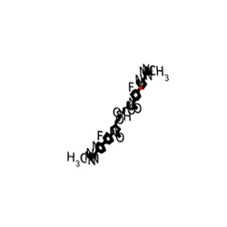 Cn1nnc(-c2ccc(-c3ccc(N4CC(CO[PH](=O)CC[C@H]5CN(c6ccc(-c7ccc(-c8nnn(C)n8)nc7)c(F)c6)C(=O)O5)CC4=O)cc3F)cn2)n1